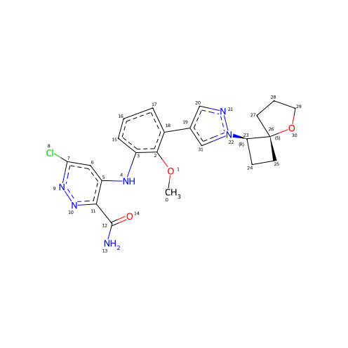 COc1c(Nc2cc(Cl)nnc2C(N)=O)cccc1-c1cnn([C@@H]2CC[C@]23CCCO3)c1